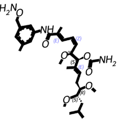 CO[C@@H](/C=C\C=C(/C)C(=O)Nc1cc(C)cc(CON)c1)[C@@H](OC(N)=O)/C(C)=C/C[C@@H](OC)[C@H](CC(C)C)OC